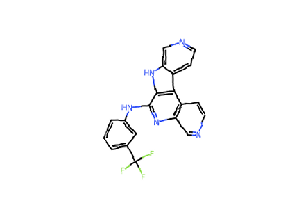 FC(F)(F)c1cccc(Nc2nc3cnccc3c3c2[nH]c2cnccc23)c1